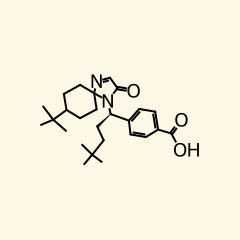 CC(C)(C)CC[C@H](c1ccc(C(=O)O)cc1)N1C(=O)C=NC12CCC(C(C)(C)C)CC2